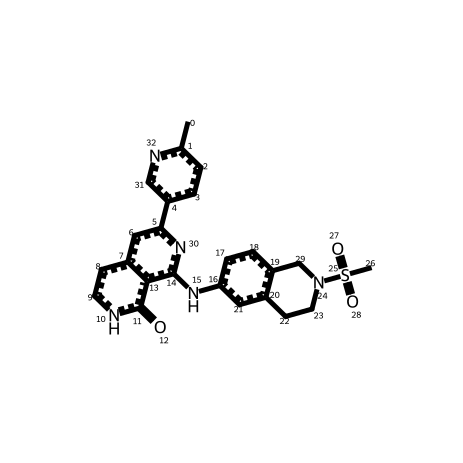 Cc1ccc(-c2cc3cc[nH]c(=O)c3c(Nc3ccc4c(c3)CCN(S(C)(=O)=O)C4)n2)cn1